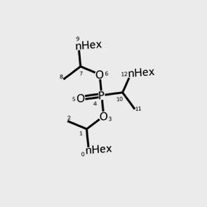 CCCCCCC(C)OP(=O)(OC(C)CCCCCC)C(C)CCCCCC